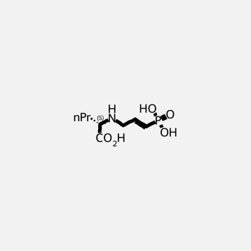 CCC[C@H](NCC=CP(=O)(O)O)C(=O)O